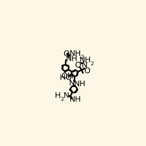 CN(C(N)=O)C(=O)C(C)(C)c1cc(-c2nc3cc(C(=N)N)ccc3[nH]2)c(O)c(-c2cc(CNC(N)=O)ccc2O)c1